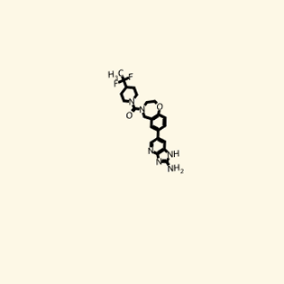 CC(F)(F)C1CCN(C(=O)N2CCOc3ccc(-c4cnc5nc(N)[nH]c5c4)cc3C2)CC1